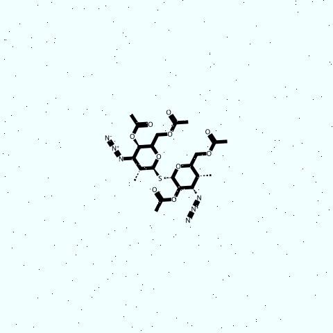 CC(=O)OCC1O[C@@H](S[C@@H]2OC(COC(C)=O)[C@H](C)[C@H](N=[N+]=[N-])C2OC(C)=O)[C@H](C)C(N=[N+]=[N-])[C@H]1OC(C)=O